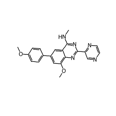 CNc1nc(-c2cnccn2)nc2c(OC)cc(-c3ccc(OC)cc3)cc12